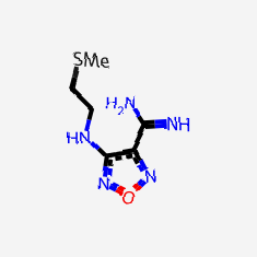 CSCCNc1nonc1C(=N)N